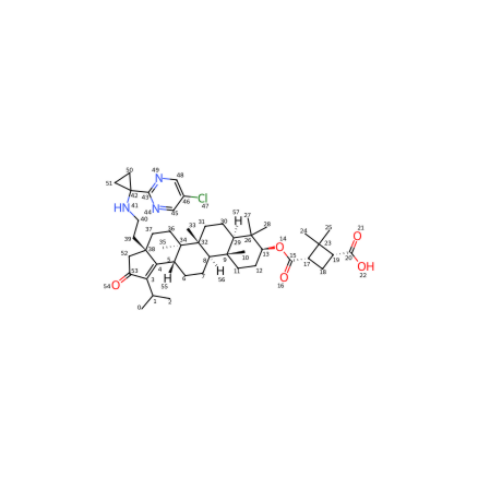 CC(C)C1=C2[C@H]3CC[C@@H]4[C@@]5(C)CC[C@H](OC(=O)[C@H]6C[C@@H](C(=O)O)C6(C)C)C(C)(C)[C@@H]5CC[C@@]4(C)[C@]3(C)CC[C@@]2(CCNC2(c3ncc(Cl)cn3)CC2)CC1=O